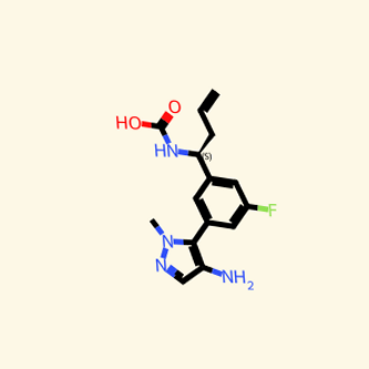 C=CC[C@H](NC(=O)O)c1cc(F)cc(-c2c(N)cnn2C)c1